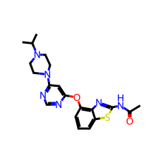 CC(=O)Nc1nc2c(Oc3cc(N4CCN(C(C)C)CC4)ncn3)cccc2s1